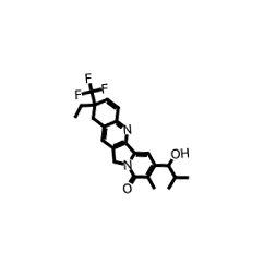 CCC1(C(F)(F)F)C=Cc2nc3c(cc2C1)Cn1c-3cc(C(O)C(C)C)c(C)c1=O